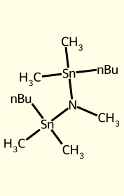 CCC[CH2][Sn]([CH3])([CH3])[N](C)[Sn]([CH3])([CH3])[CH2]CCC